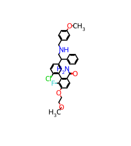 COCCOc1ccc(C(N)=O)c(-c2cc(C(CNCc3ccc(OC)cc3)c3ccccc3)ccc2Cl)c1F